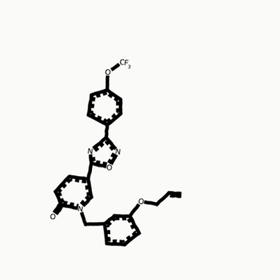 C=CCOc1cccc(Cn2cc(-c3nc(-c4ccc(OC(F)(F)F)cc4)no3)ccc2=O)c1